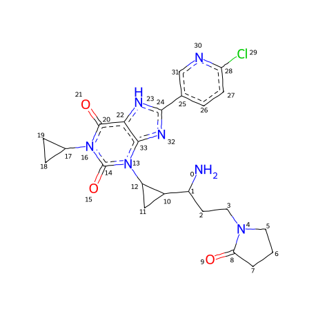 NC(CCN1CCCC1=O)C1CC1n1c(=O)n(C2CC2)c(=O)c2[nH]c(-c3ccc(Cl)nc3)nc21